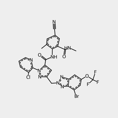 CNC(=O)c1cc(C#N)cc(C)c1NC(=O)c1cc(Cn2nc3cc(OC(F)(F)F)cc(Br)c3n2)nn1-c1ncccc1Cl